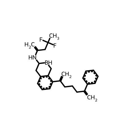 C=C(CC(C)(F)F)NC1BCc2c(cccc2C(=C)CCCC(=C)c2ccccc2)C1